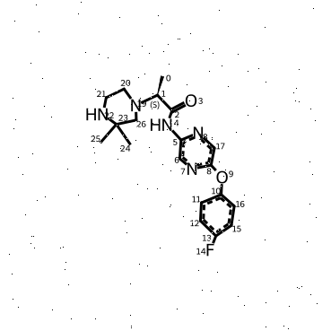 C[C@@H](C(=O)Nc1cnc(Oc2ccc(F)cc2)cn1)N1CCNC(C)(C)C1